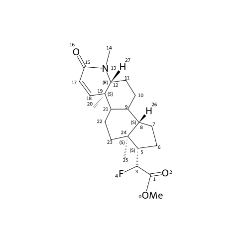 COC(=O)C(F)[C@H]1CC[C@H]2C3CC[C@H]4N(C)C(=O)C=C[C@]4(C)C3CC[C@]12C